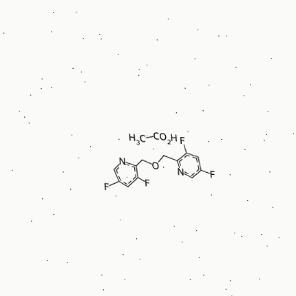 CC(=O)O.Fc1cnc(COCc2ncc(F)cc2F)c(F)c1